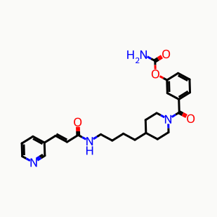 NC(=O)Oc1cccc(C(=O)N2CCC(CCCCNC(=O)/C=C/c3cccnc3)CC2)c1